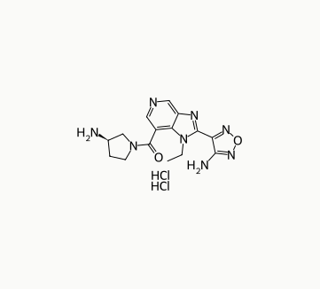 CCn1c(-c2nonc2N)nc2cncc(C(=O)N3CC[C@@H](N)C3)c21.Cl.Cl